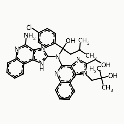 CC(C)CC(O)(c1ccc(Cl)cc1)N(c1nc2c(N)nc3ccccc3c2[nH]1)c1nc2ccccc2c2c1nc(CO)n2CC(C)(C)O